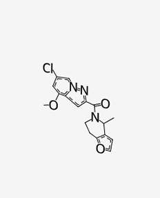 COc1cc(Cl)cn2nc(C(=O)N3CCc4occc4C3C)cc12